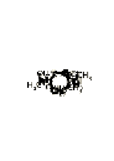 CCn1c(-c2cccnc2[C@H](C)OC)c2c3cc(ccc31)-c1csc(n1)C[C@H](NC(=O)[C@@H]1[C@@H](C)[C@H]1CO)C(=O)N1CCC[C@H](N1)C(=O)OCC(C)(C)C2